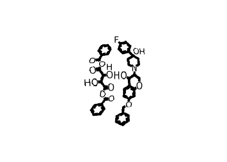 O=C(OC(=O)C(O)C(O)C(=O)OC(=O)c1ccccc1)c1ccccc1.OC1c2ccc(OCc3ccccc3)cc2OCC1N1CCC(O)(c2ccc(F)cc2)CC1